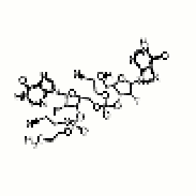 C=CCOP(=O)(OCCC#N)O[C@@H]1C(COP(=O)(OCCC#N)O[C@@H]2C(CO)OC(n3cnc4c(=O)[nH]cnc43)[C@@H]2F)OC(n2cnc3c(=O)[nH]cnc32)[C@@H]1F